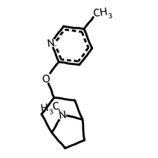 Cc1ccc(OC2CC3CCC(C2)N3C)nc1